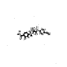 CNC(=O)c1ccc(S(=O)(=O)C[C@](C)(O)C(=O)Nc2nnc(C#N)nn2)cc1F